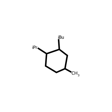 [CH2]CC(C)C1CC(C)CCC1C(C)C